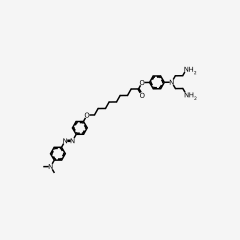 CN(C)c1ccc(N=Nc2ccc(OCCCCCCCCC(=O)Oc3ccc(N(CCN)CCN)cc3)cc2)cc1